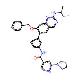 CC[C@H](C)Nc1ncc2cc(-c3cccc(NC(=O)c4ccnc(N5CCCC5)c4)c3)c(OCc3ccccc3)cc2n1